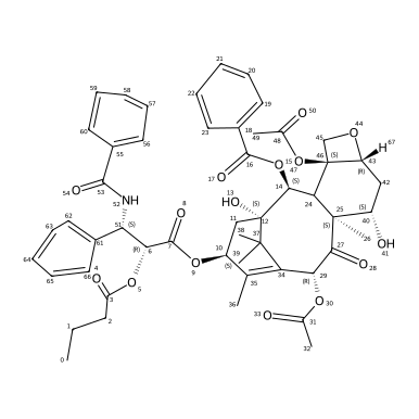 CCCC(=O)O[C@@H](C(=O)O[C@H]1C[C@@]2(O)[C@@H](OC(=O)c3ccccc3)C3[C@](C)(C(=O)[C@H](OC(C)=O)C(=C1C)C2(C)C)[C@@H](O)C[C@H]1OC[C@@]31OC(C)=O)[C@@H](NC(=O)c1ccccc1)c1ccccc1